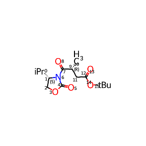 CC(C)[C@H]1COC(=O)N1C(=O)[C@H](C)CC(=O)OC(C)(C)C